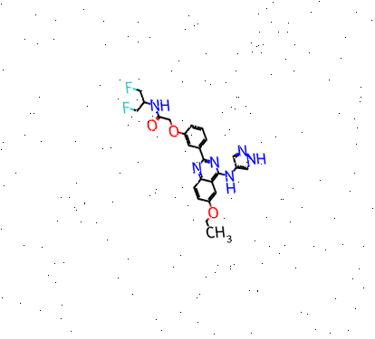 CCOc1ccc2nc(-c3cccc(OCC(=O)NC(CF)CF)c3)nc(Nc3cn[nH]c3)c2c1